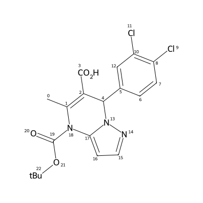 CC1=C(C(=O)O)C(c2ccc(Cl)c(Cl)c2)n2nccc2N1C(=O)OC(C)(C)C